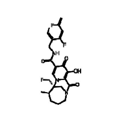 C=C(F)/C=C(F)\C(=C/C)CNC(=O)c1cn2c(c(O)c1=O)C(=O)N1CCC[C@@H](C)[C@]2(CF)C1